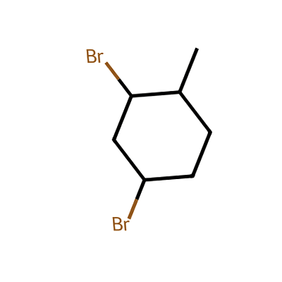 CC1CCC(Br)CC1Br